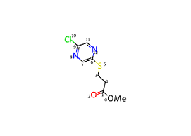 COC(=O)CCSc1cnc(Cl)cn1